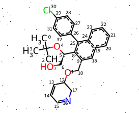 CC(C)(C)O[C@H](CO)c1c(COC2C=CC=NC2)cc2ccccc2c1-c1ccc(Cl)cc1